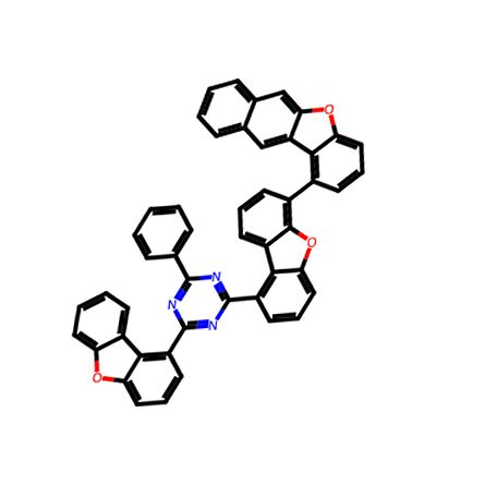 c1ccc(-c2nc(-c3cccc4oc5ccccc5c34)nc(-c3cccc4oc5c(-c6cccc7oc8cc9ccccc9cc8c67)cccc5c34)n2)cc1